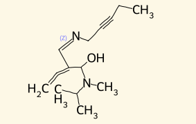 C=C=C(/C=N\CC#CCC)C(O)N(C)C(C)C